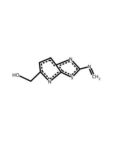 C=Nc1nc2ccc(CO)nc2s1